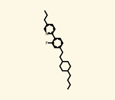 CCCCC1CCC(CCc2ccc(-c3ccc(CCC)cn3)c(F)c2)CC1